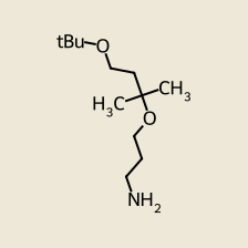 CC(C)(C)OCCC(C)(C)OCCCN